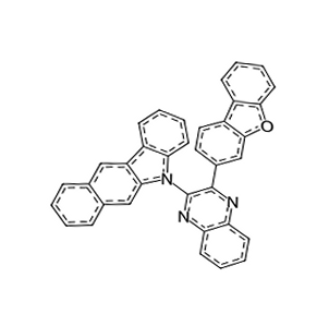 c1ccc2cc3c(cc2c1)c1ccccc1n3-c1nc2ccccc2nc1-c1ccc2c(c1)oc1ccccc12